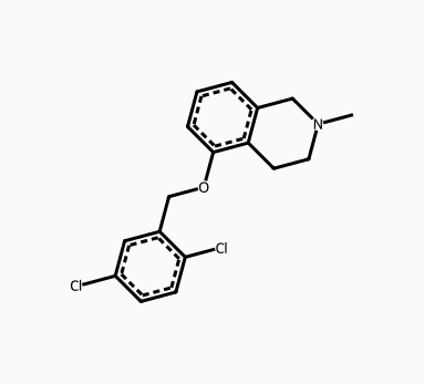 CN1CCc2c(cccc2OCc2cc(Cl)ccc2Cl)C1